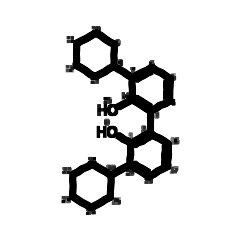 Oc1c(-c2cccc(C3CCCCC3)c2O)cccc1C1CCCCC1